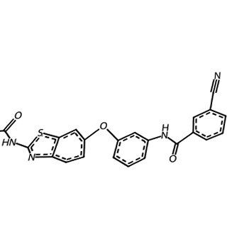 CC(=O)Nc1nc2ccc(Oc3cccc(NC(=O)c4cccc(C#N)c4)c3)cc2s1